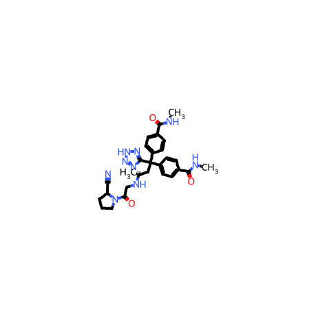 CNC(=O)c1ccc(C(C[C@@H](C)NCC(=O)N2CCCC2C#N)(c2ccc(C(=O)NC)cc2)c2nn[nH]n2)cc1